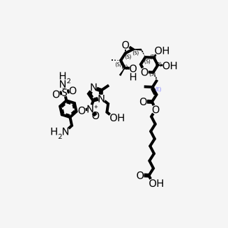 C/C(=C\C(=O)OCCCCCCCCC(=O)O)C[C@@H]1OC[C@H](C[C@@H]2O[C@H]2[C@@H](C)[C@H](C)O)[C@@H](O)[C@H]1O.Cc1ncc([N+](=O)[O-])n1CCO.NCc1ccc(S(N)(=O)=O)cc1